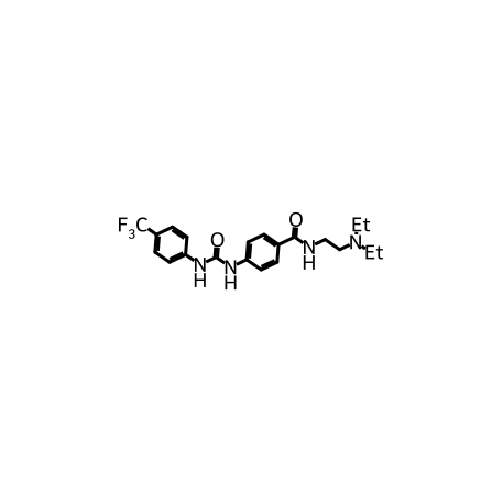 CCN(CC)CCNC(=O)c1ccc(NC(=O)Nc2ccc(C(F)(F)F)cc2)cc1